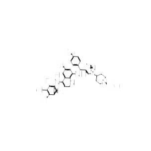 CC(C)(C)N1CCC(n2cc([C@@H](Nc3cc(Cl)cc4c(Nc5ccc(Cl)c(Cl)c5F)c(C#N)cnc34)c3ccc(Cl)cc3)nn2)CC1